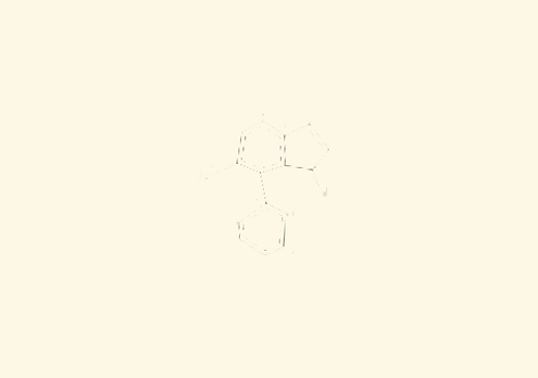 CCCC1C=Cc2ccc(Br)c(-c3ccccc3)c21